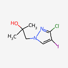 CC(C)(O)Cn1cc(I)c(Cl)n1